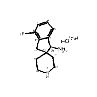 Cl.Cl.N[C@@H]1c2cccc(F)c2CC12CCNCC2